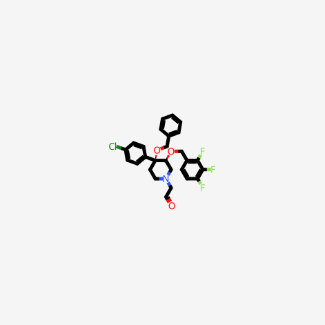 O=CCN1CC[C@@](OCc2ccccc2)(c2ccc(Cl)cc2)[C@@H](OCc2ccc(F)c(F)c2F)C1